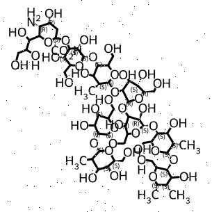 CC1C(O)[C@H](O)[C@H](CO)O[C@H]1O[C@@H]1C(O)[C@H](O)C(CO)O[C@@H]1OCC1O[C@@H](O[C@@H]2C(CO)O[C@@H](O[C@@H]3C(CO)O[C@@H](C)[C@@H](C)C3O)[C@@H](C)C2O)[C@H](O)C(O[C@H]2O[C@H](CO)[C@@H](O)C(O)C2O[C@@H]2OC(CO)[C@@H](O[C@@H]3OC(CO)[C@H](O)C(O[C@]4(C(=O)O)C[C@@H](O)[C@@H](N)C(C(O)C(O)CO)O4)[C@@H]3O)C(O)[C@@H]2C)[C@@H]1O